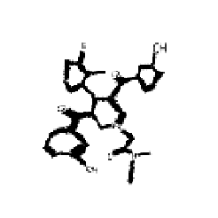 Cc1c(F)cccc1C1C(C(=O)c2cccc(O)c2)CN(CC(=O)N(C)C)CC1C(=O)c1cccc(O)c1